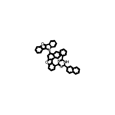 C1=CC2c3oc4ccccc4c3N(c3cc4oc5cccc(C6=NC(c7ccc8ccccc8c7)NC(c7ccccc7)=N6)c5c4c4ccccc34)C2C=C1